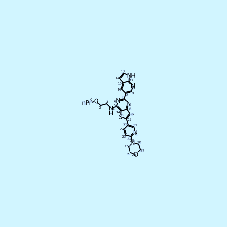 CCCOCCNc1nc(-c2cnc3[nH]ccc3c2)nc2cc(-c3ccc(N4CCOCC4)nc3)sc12